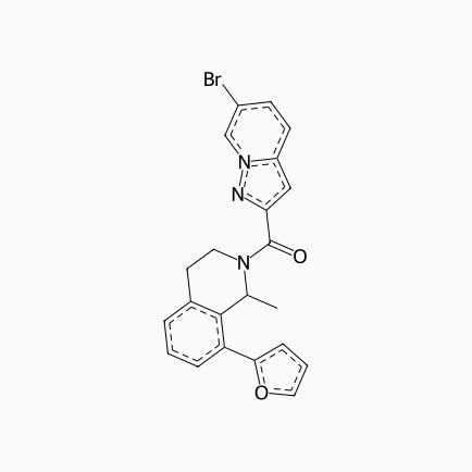 CC1c2c(cccc2-c2ccco2)CCN1C(=O)c1cc2ccc(Br)cn2n1